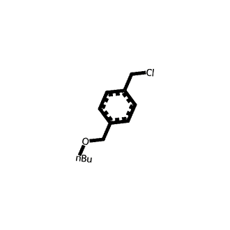 CCCCOCc1ccc(CCl)cc1